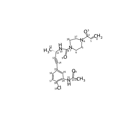 C=CC(=O)N1CCN(C(=O)N[C@@H](C)C#Cc2ccc(Cl)c(NC(C)=O)c2)CC1